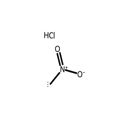 Cl.[C][N+](=O)[O-]